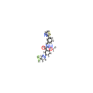 CCOc1ccc(N2CCC(F)(F)C2)cc1C(=O)NCc1cccc(-c2nccs2)c1